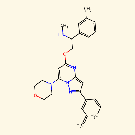 C=C/C=C(\C=C/C)c1cc2nc(OCC(NC)c3cccc(C)c3)cc(N3CCOCC3)n2n1